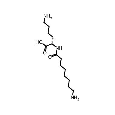 NCCCCCCCC(=O)N[C@@H](CCCCN)C(=O)O